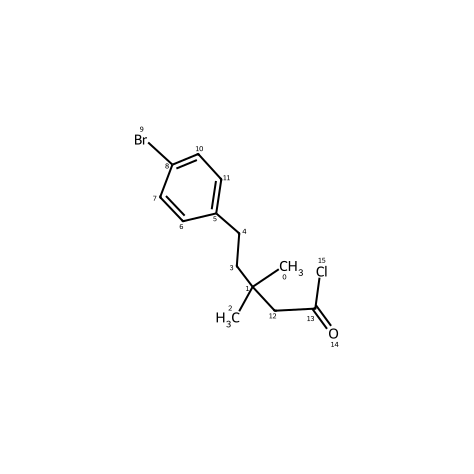 CC(C)(CCc1ccc(Br)cc1)CC(=O)Cl